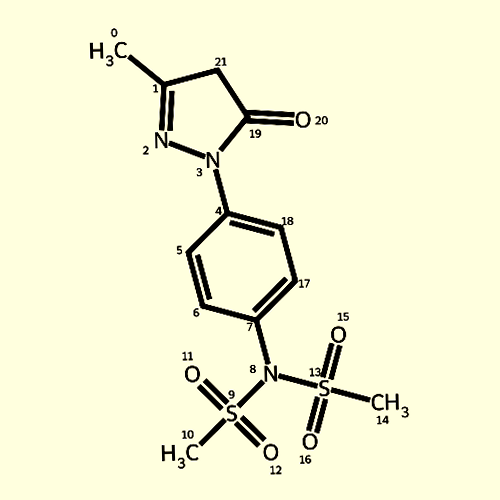 CC1=NN(c2ccc(N(S(C)(=O)=O)S(C)(=O)=O)cc2)C(=O)C1